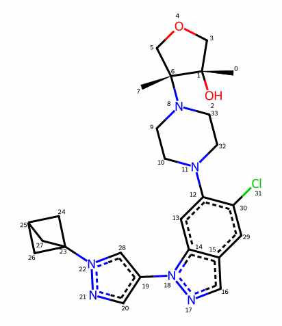 C[C@]1(O)COC[C@@]1(C)N1CCN(c2cc3c(cnn3-c3cnn(C45CC(C4)C5)c3)cc2Cl)CC1